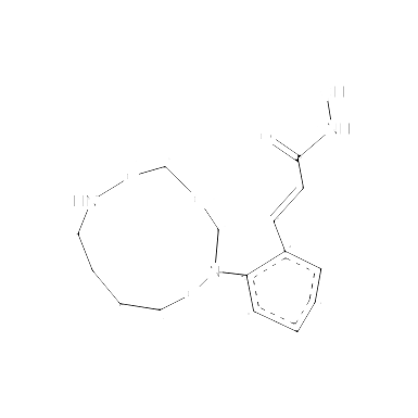 O=C(/C=C/c1ccccc1N1CCCCCNCCCC1)NO